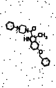 Cc1c(C(=O)N2CCN(c3ccccc3)CC2)[nH]c2ccc(OCc3ccccc3)cc12